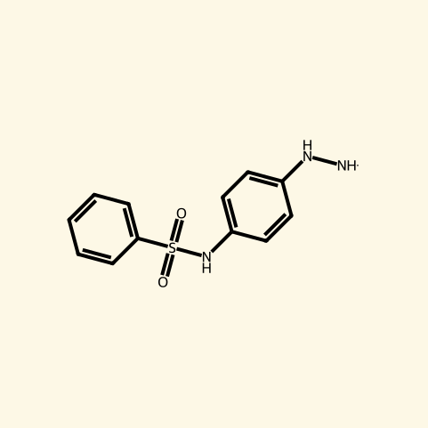 [NH]Nc1ccc(NS(=O)(=O)c2ccccc2)cc1